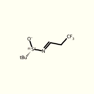 CC(C)(C)[S@+]([O-])N=CCC(F)(F)F